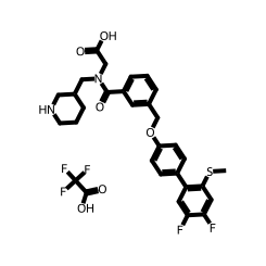 CSc1cc(F)c(F)cc1-c1ccc(OCc2cccc(C(=O)N(CC(=O)O)CC3CCCNC3)c2)cc1.O=C(O)C(F)(F)F